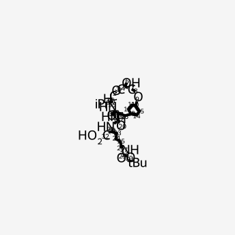 CC(C)[C@H]1COCC(O)CCOc2ccc(cc2)C[C@@H](NC(=O)N[C@@H](CCCCNC(=O)OC(C)(C)C)C(=O)O)C(=O)N1